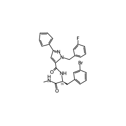 CNC(=O)[C@H](Cc1cccc(Br)c1)NC(=O)c1cc(-c2ccccc2)nn1Cc1cccc(F)c1